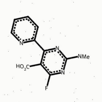 CNc1nc(F)c(C(=O)O)c(-c2ccccn2)n1